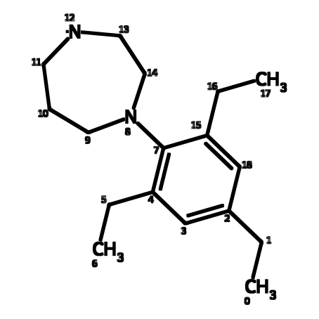 CCc1cc(CC)c(N2CCC[N]CC2)c(CC)c1